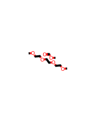 COC=O.COCCOCCOCCOC